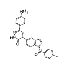 Cc1ccc([S+]([O-])n2ccc3cc(-c4cc(-c5ccc(N)cc5)n[nH]c4=O)ccc32)cc1